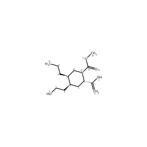 C=C(O)[C@@H]1C[C@@H](CCO)[C@@H](CCC)CN1C(=O)OC